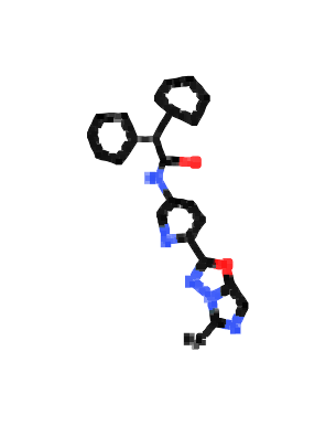 Cc1ncc2oc(-c3ccc(NC(=O)C(c4ccccc4)c4ccccc4)cn3)nn12